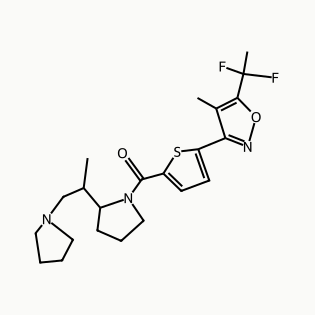 Cc1c(-c2ccc(C(=O)N3CCCC3C(C)CN3CCCC3)s2)noc1C(C)(F)F